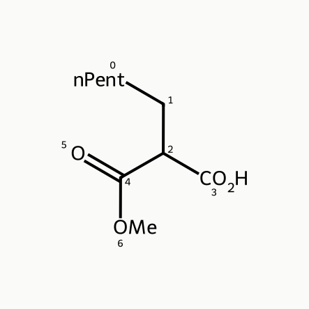 CCCCCCC(C(=O)O)C(=O)OC